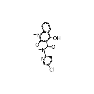 CN(C(=O)c1c(O)c2ccccc2n(C)c1=O)c1ccc(Cl)cn1